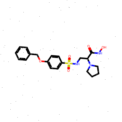 O=C(NO)C(CNS(=O)(=O)c1ccc(OCc2ccccc2)cc1)N1CCCC1